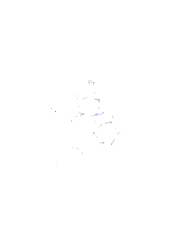 CN(Cc1ccccc1)C1CCC(C#N)(c2cncc(Br)c2)C1